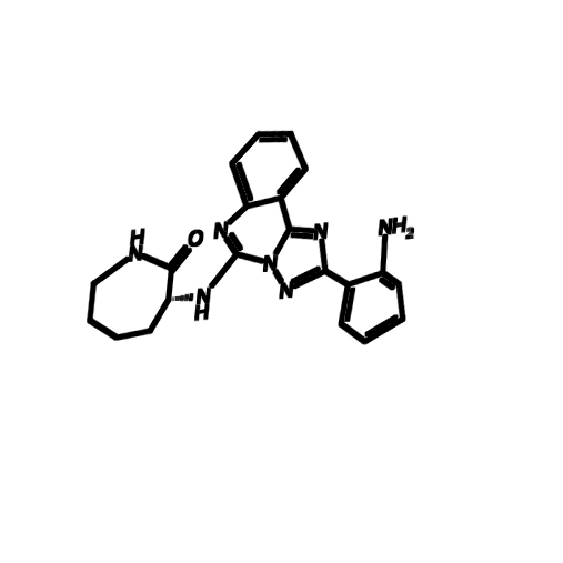 Nc1ccccc1-c1nc2c3ccccc3nc(N[C@@H]3CCCCNC3=O)n2n1